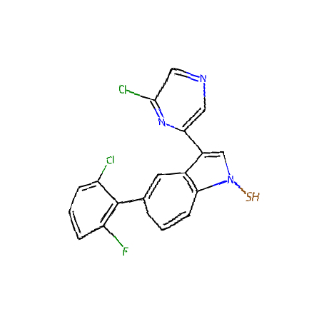 Fc1cccc(Cl)c1-c1ccc2c(c1)c(-c1cncc(Cl)n1)cn2S